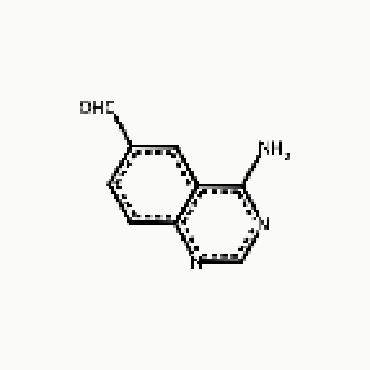 Nc1ncnc2ccc(C=O)cc12